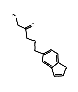 CC(C)CC(=O)CSCc1ccc2sccc2c1